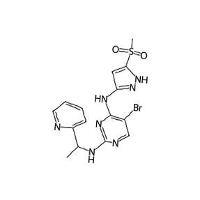 CC(Nc1ncc(Br)c(Nc2cc(S(C)(=O)=O)[nH]n2)n1)c1ccccn1